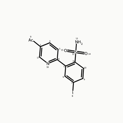 CC(=O)c1ccc(-c2cc(I)ccc2S(N)(=O)=O)nc1